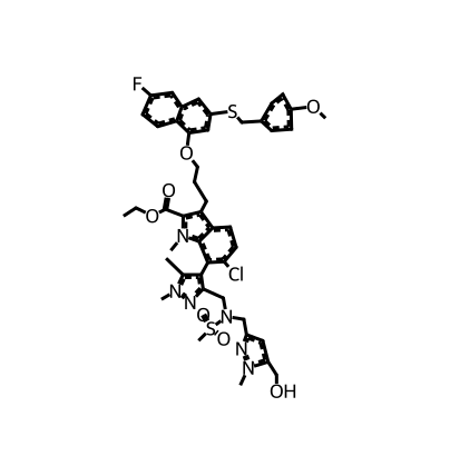 CCOC(=O)c1c(CCCOc2cc(SCc3ccc(OC)cc3)cc3cc(F)ccc23)c2ccc(Cl)c(-c3c(CN(Cc4cc(CO)n(C)n4)S(C)(=O)=O)nn(C)c3C)c2n1C